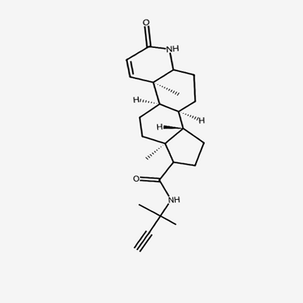 C#CC(C)(C)NC(=O)C1CC[C@H]2[C@@H]3CCC4NC(=O)C=C[C@]4(C)[C@@H]3CC[C@]12C